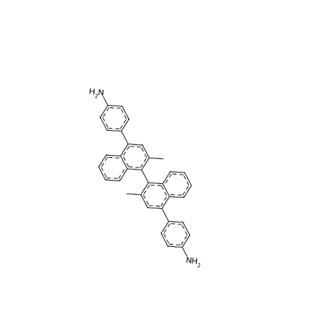 Cc1cc(-c2ccc(N)cc2)c2ccccc2c1-c1c(C)cc(-c2ccc(N)cc2)c2ccccc12